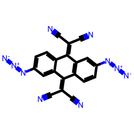 N#CC(C#N)=c1c2ccc(N=[N+]=[N-])cc2c(=C(C#N)C#N)c2ccc(N=[N+]=[N-])cc12